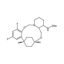 CSNC1CCCN2COc3c(F)cc(F)cc3[C@H]3CC[C@H](CC3)OCC12